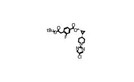 CC(C)(C)OC(=O)Cc1ccc(C(=O)OC[C@@H]2C[C@@H]2C2CCN(c3ncc(Cl)cn3)CC2)cc1F